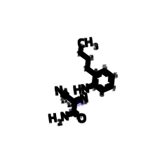 CCCCc1ccccc1N/N=C(\C#N)C(N)=O